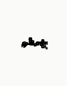 CCOC(Cc1ccc(OCCN(CCCOC(F)(F)C(F)(F)F)C(=O)OC2CCCC2)cc1)C(=O)O